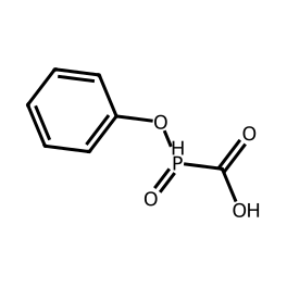 O=C(O)[PH](=O)Oc1ccccc1